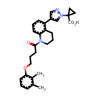 Cc1cccc(OCCCC(=O)N2CCCc3c(-c4cnn(C5(C(=O)O)CC5)c4)cccc32)c1C